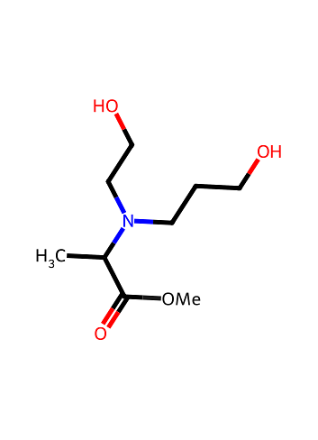 COC(=O)C(C)N(CCO)CCCO